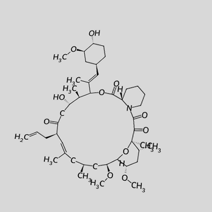 C=CC[C@@H]1/C=C(\C)C[C@H](C)C[C@H](OC)[C@H]2O[C@@](C)(C(=O)C(=O)N3CCCC[C@H]3C(=O)OC(/C(C)=C/[C@@H]3CC[C@@H](O)[C@H](OC)C3)[C@H](C)[C@@H](O)CC1=O)[C@H](C)C[C@@H]2OC